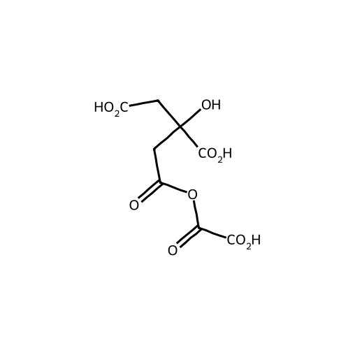 O=C(O)CC(O)(CC(=O)OC(=O)C(=O)O)C(=O)O